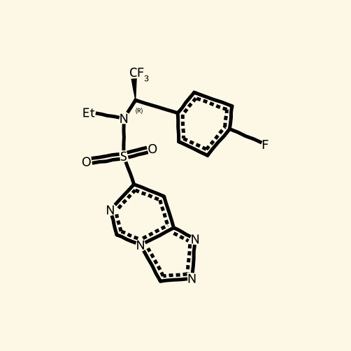 CCN([C@H](c1ccc(F)cc1)C(F)(F)F)S(=O)(=O)c1cc2nncn2cn1